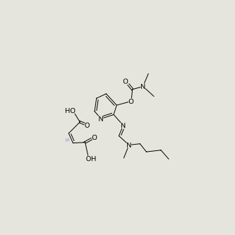 CCCCN(C)C=Nc1ncccc1OC(=O)N(C)C.O=C(O)/C=C\C(=O)O